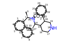 C[C@H](c1cccc2ccccc12)N(C(=O)O)C(C1CCNCC1c1ccccc1)C(C)(C)C